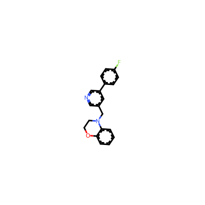 Fc1ccc(-c2cncc(CN3CCOc4ccccc43)c2)cc1